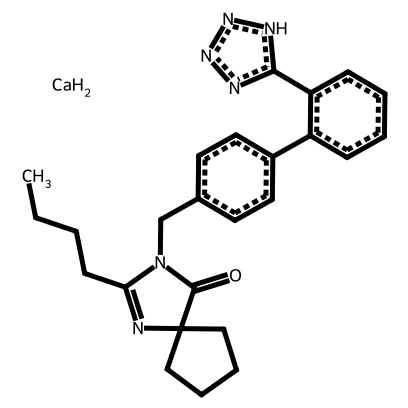 CCCCC1=NC2(CCCC2)C(=O)N1Cc1ccc(-c2ccccc2-c2nnn[nH]2)cc1.[CaH2]